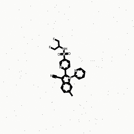 Cc1ccc2c(C#N)c(-c3ccc(S(=O)(=O)NC(CF)CF)cn3)n(-c3ccccn3)c2c1